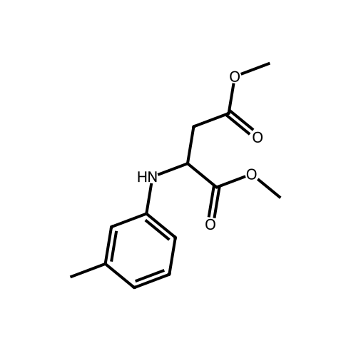 COC(=O)CC(Nc1cccc(C)c1)C(=O)OC